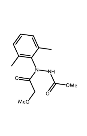 COCC(=O)N(NC(=O)OC)c1c(C)cccc1C